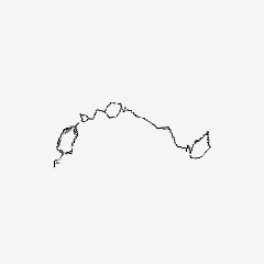 Fc1ccc(OCCC2CCN(CCCCCCN3CCCCC3)CC2)cc1